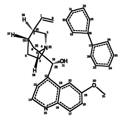 C=C[C@H]1C[N@]2CC[C@H]1C[C@H]2[C@H](O)c1ccnc2ccc(OC)cc12.c1ccc(-c2ccccc2)cc1